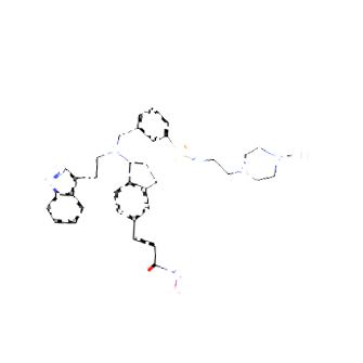 CN1CCN(CCNS(=O)(=O)c2cccc(CN(CCc3c[nH]c4ccccc34)C3CCc4cc(C=CC(=O)NO)ccc43)c2)CC1